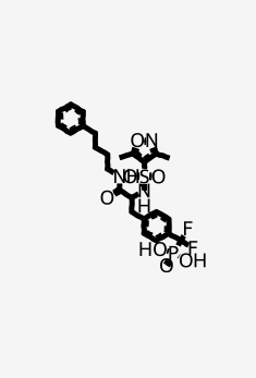 Cc1noc(C)c1S(=O)(=O)NC(Cc1ccc(C(F)(F)P(=O)(O)O)cc1)C(=O)NCCCCc1ccccc1